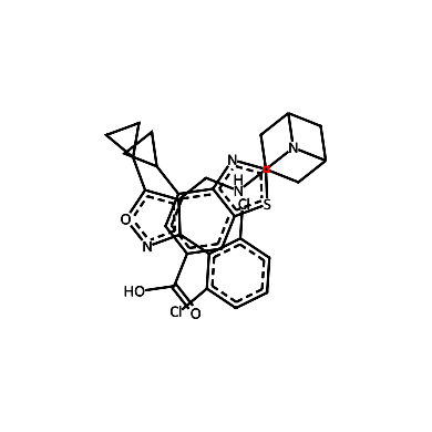 O=C(O)c1cc(C2CC2)c2nc(N3C4CC(NCc5c(-c6c(Cl)cccc6Cl)noc5C5CC5)CC3C4)sc2c1